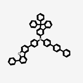 c1ccc(-c2ccc(-c3ccc(N(c4ccc(-c5ccc6oc7c(-c8ccccc8)cccc7c6c5)cc4)c4ccc5c(c4)-c4ccccc4C5(c4ccccc4)c4ccccc4)cc3)cc2)cc1